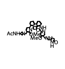 COc1cc(C(=O)Nc2cccc(-c3cccc(-c4ccc(CN5CC(NC(C)=O)C5)c(OC)n4)c3Cl)c2Cl)ncc1CNCC1CCC(=O)N1